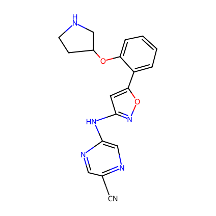 N#Cc1cnc(Nc2cc(-c3ccccc3OC3CCNC3)on2)cn1